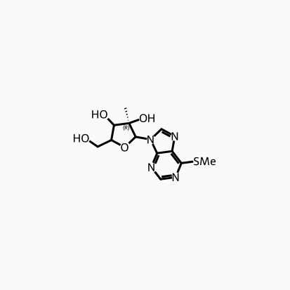 CSc1ncnc2c1ncn2C1OC(CO)C(O)[C@@]1(C)O